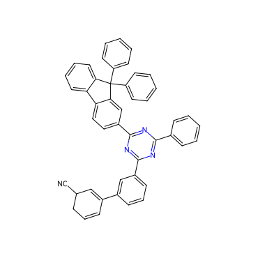 N#CC1C=C(c2cccc(-c3nc(-c4ccccc4)nc(-c4ccc5c(c4)C(c4ccccc4)(c4ccccc4)c4ccccc4-5)n3)c2)C=CC1